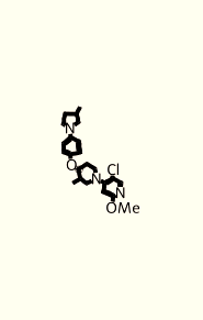 COc1cc(N2CC[C@@H](Oc3ccc(N4CCC(C)C4)cc3)C(C)C2)c(Cl)cn1